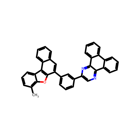 Cc1cccc2c1oc1c(-c3cccc(-c4cnc5c6ccccc6c6ccccc6c5n4)c3)cc3ccccc3c12